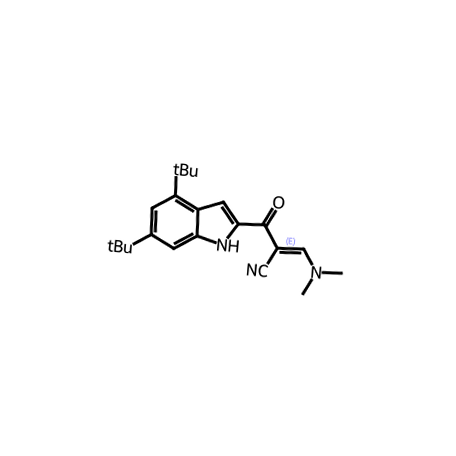 CN(C)/C=C(\C#N)C(=O)c1cc2c(C(C)(C)C)cc(C(C)(C)C)cc2[nH]1